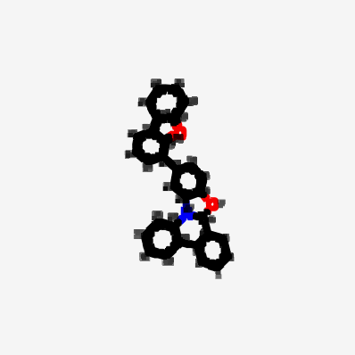 c1ccc2c(c1)B1Oc3ccc(-c4cccc5c4oc4ccccc45)cc3N1c1ccccc1-2